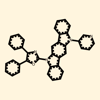 c1ccc(-c2nc(-n3c4ccccc4c4cc5c(cc43)c3ccccc3n5-c3cccnc3)oc2-c2ccccc2)cc1